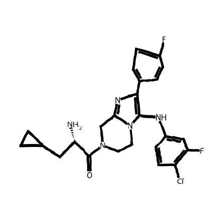 N[C@@H](CC1CC1)C(=O)N1CCn2c(nc(-c3ccc(F)cc3)c2Nc2ccc(Cl)c(F)c2)C1